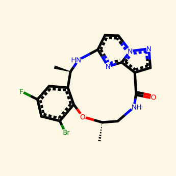 C[C@H]1CNC(=O)c2cnn3ccc(nc23)N[C@H](C)c2cc(F)cc(Br)c2O1